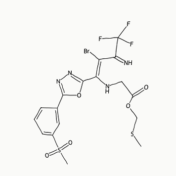 CSCOC(=O)CN/C(=C(/Br)C(=N)C(F)(F)F)c1nnc(-c2cccc(S(C)(=O)=O)c2)o1